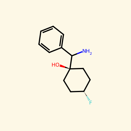 NC(c1ccccc1)[C@]1(O)CC[C@H](F)CC1